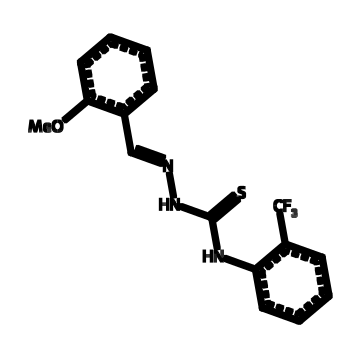 COc1ccccc1/C=N/NC(=S)Nc1ccccc1C(F)(F)F